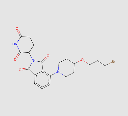 O=C1CCC(N2C(=O)c3cccc(N4CCC(OCCCBr)CC4)c3C2=O)C(=O)N1